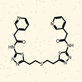 O=C(Cc1cccnc1)Nc1nnc(CCSCCc2nnc(NC(=O)Cc3cccnc3)s2)s1